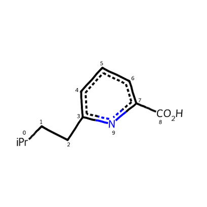 CC(C)CCc1cccc(C(=O)O)n1